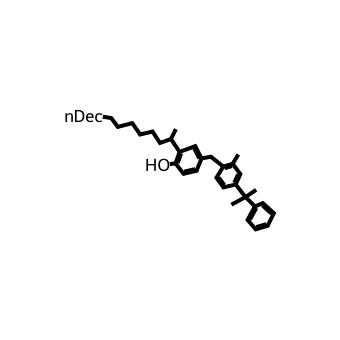 CCCCCCCCCCCCCCCCC(C)c1cc(Cc2ccc(C(C)(C)c3ccccc3)cc2C)ccc1O